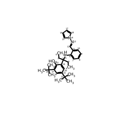 CCC(CC)(Pc1ccccc1/C=N/n1cccc1)c1cc(C(C)(C)C)cc(C(C)(C)C)c1O